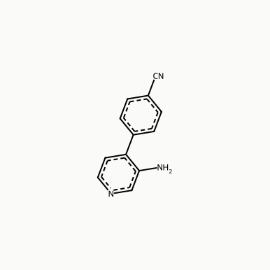 N#Cc1ccc(-c2ccncc2N)cc1